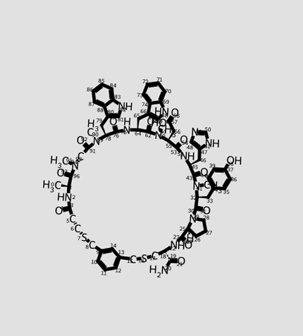 C[C@@H]1NC(=O)CCSCc2cccc(c2)CSC[C@@H](C(N)=O)NC(=O)[C@@H]2CCCN2C(=O)[C@H](Cc2ccc(O)cc2)N(C)C(=O)[C@H](Cc2cnc[nH]2)NC(=O)[C@H](CC(=O)O)N(C)C(=O)[C@H](Cc2c[nH]c3ccccc23)NC(=O)[C@H](Cc2c[nH]c3ccccc23)N(C)C(=O)CN(C)C1=O